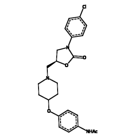 CC(=O)Nc1ccc(OC2CCN(C[C@H]3CN(c4ccc(Cl)cc4)C(=O)O3)CC2)cc1